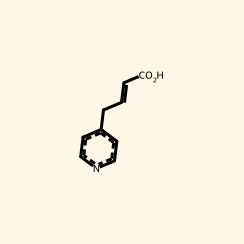 O=C(O)/C=C/Cc1ccncc1